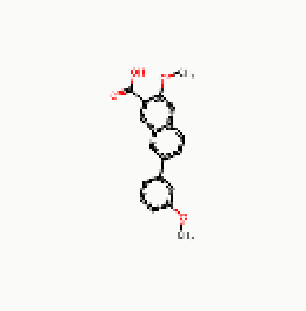 COc1cccc(-c2ccc3cc(OC)c(C(=O)O)cc3c2)c1